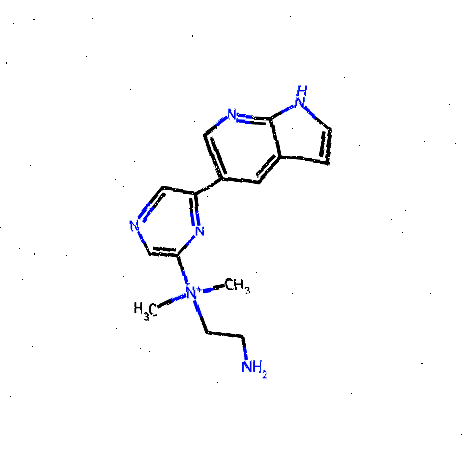 C[N+](C)(CCN)c1cncc(-c2cnc3[nH]ccc3c2)n1